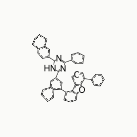 c1ccc(C2=NC(c3ccc4ccccc4c3)NC(c3cc(-c4cccc5oc6c(-c7ccccc7)cccc6c45)c4ccccc4c3)=N2)cc1